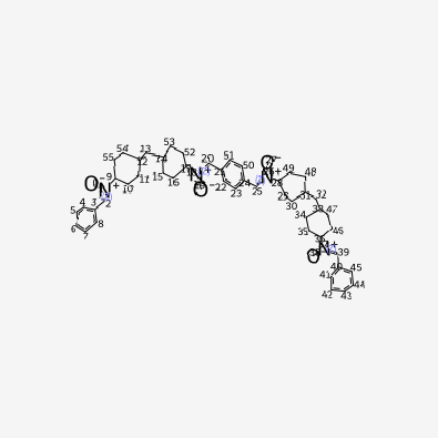 [O-]/[N+](=C\c1ccccc1)C1CCC(CC2CCC(/[N+]([O-])=C/c3ccc(/C=[N+](\[O-])C4CCC(CC5CCC(/[N+]([O-])=C/c6ccccc6)CC5)CC4)cc3)CC2)CC1